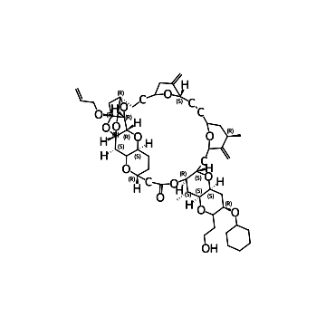 C=CCO[C@]12C[C@]34CCC5CC(=C)[C@H](CCC6C[C@@H](C)C(=C)C(C[C@@H]7O[C@H]8C[C@@H](OC9CCCCC9)C(CCO)O[C@H]8[C@H](C)[C@H]7OC(=O)C[C@H]7CC[C@@H]8O[C@H]([C@@H](O1)[C@@H](O3)C8O7)[C@H]2O4)O6)O5